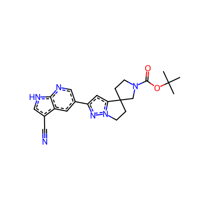 CC(C)(C)OC(=O)N1CCC2(CCn3nc(-c4cnc5[nH]cc(C#N)c5c4)cc32)C1